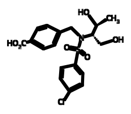 C[C@H](O)[C@H](CO)N(Cc1ccc(C(=O)O)cc1)S(=O)(=O)c1ccc(Cl)cc1